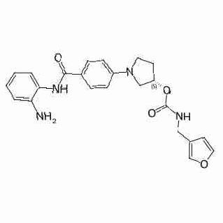 Nc1ccccc1NC(=O)c1ccc(N2CC[C@H](OC(=O)NCc3ccoc3)C2)cc1